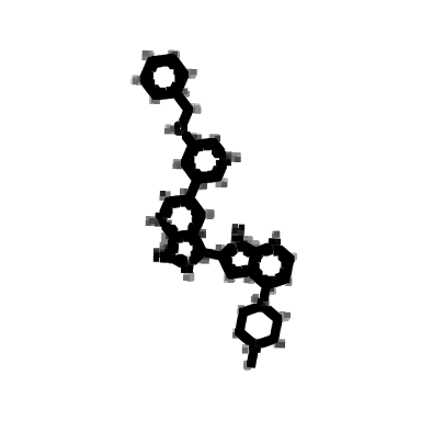 CN1CCN(c2ccnc3[nH]c(-c4n[nH]c5ncc(-c6cncc(OCc7ccccc7)c6)cc45)cc23)CC1